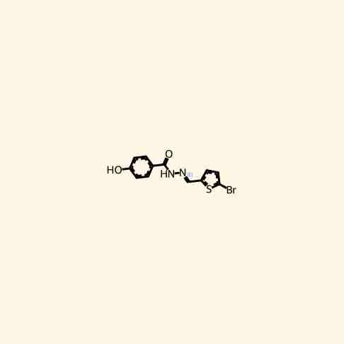 O=C(N/N=C/c1ccc(Br)s1)c1ccc(O)cc1